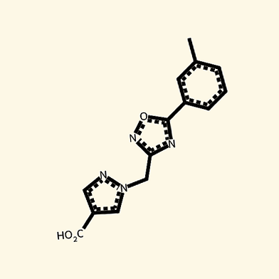 Cc1cccc(-c2nc(Cn3cc(C(=O)O)cn3)no2)c1